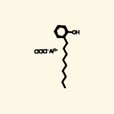 CCCCCCCCCc1ccccc1O.[Al+3].[Cl-].[Cl-].[Cl-]